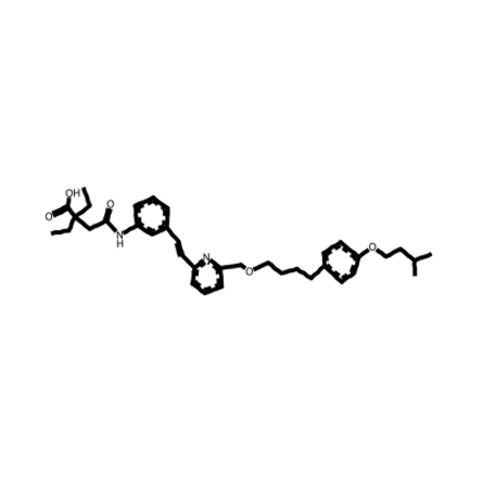 CCC(CC)(CC(=O)Nc1cccc(/C=C/c2cccc(COCCCCc3ccc(OCCC(C)C)cc3)n2)c1)C(=O)O